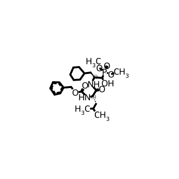 COP(=O)(OC)C(O)[C@H](CC1CCCCC1)NC(=O)[C@H](CC(C)C)NC(=O)OCc1ccccc1